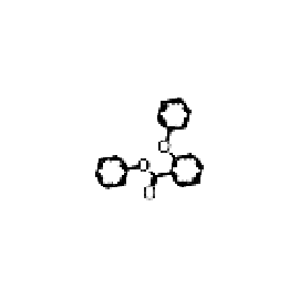 O=C(Oc1ccccc1)c1ccccc1Oc1ccccc1